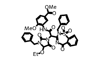 CCOC1C(=O)N(C(C(=O)Nc2cc(C(=O)OC)ccc2OC)C2=NC(=O)c3ccccc3S(=O)(=O)N2Cc2ccccc2)C(=O)N1Cc1ccccc1